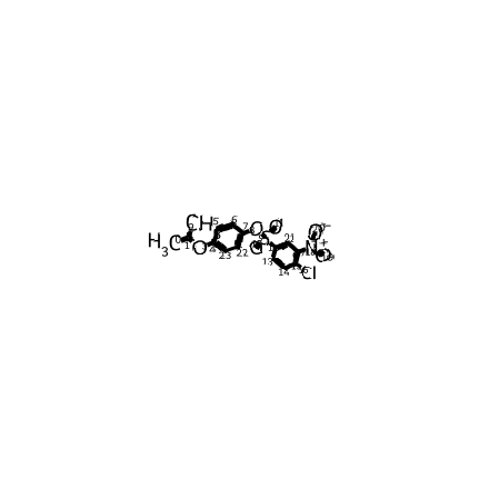 CC(C)Oc1ccc(OS(=O)(=O)c2ccc(Cl)c([N+](=O)[O-])c2)cc1